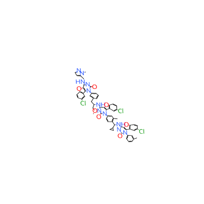 COCC(Cc1cccc(-n2c(=O)nc(NCc3ccnn3C)c3oc4ccc(Cl)cc4c32)c1)Nc1nc(=O)n(-c2ccc(C(Nc3nc(=O)n(-c4cccc(C)c4)c4c3oc3ccc(Cl)cc34)C3CC3)c(C)c2)c2c1oc1ccc(Cl)cc12